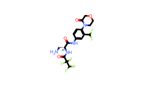 NC[C@@H](NC(=O)C(F)(F)C(F)F)C(=O)Nc1ccc(N2CCOCC2=O)c(C(F)F)c1